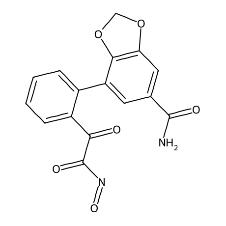 NC(=O)c1cc2c(c(-c3ccccc3C(=O)C(=O)N=O)c1)OCO2